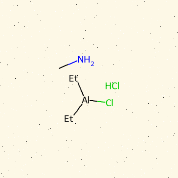 CN.C[CH2][Al]([Cl])[CH2]C.Cl